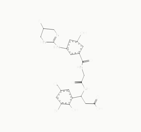 O=C(O)CC(NC(=O)CNC(=O)c1cc(O)cc(NC2=NCC(F)CN2)c1)c1cc(Cl)cc(Br)c1O